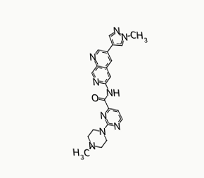 CN1CCN(c2nccc(C(=O)Nc3cc4cc(-c5cnn(C)c5)cnc4cn3)n2)CC1